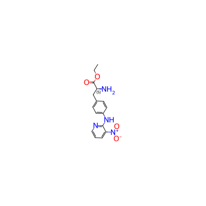 CCOC(=O)[C@@H](N)Cc1ccc(Nc2ncccc2[N+](=O)[O-])cc1